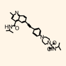 Cc1cc(C(=O)NC(C)C)c2cc(C#Cc3ccc(N4CCN(S(=O)(=O)NC(C)C)CC4)cc3)ccc2n1